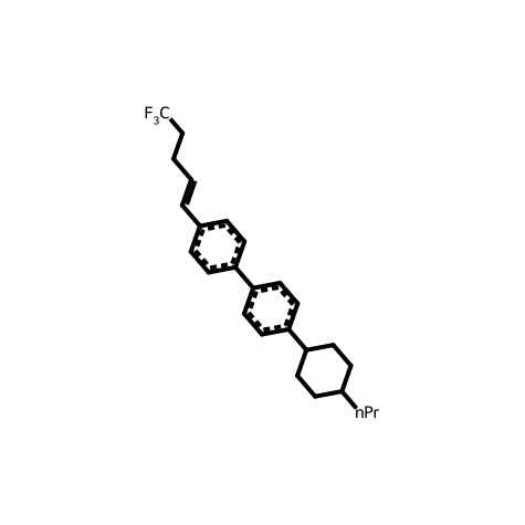 CCCC1CCC(c2ccc(-c3ccc(C=CCCC(F)(F)F)cc3)cc2)CC1